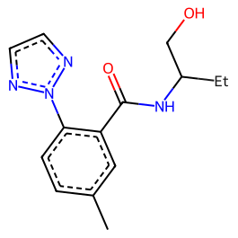 CCC(CO)NC(=O)c1cc(C)ccc1-n1nccn1